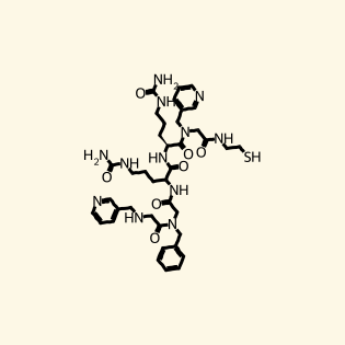 NC(=O)NCCCC(NC(=O)CN(Cc1ccccc1)C(=O)CNCc1cccnc1)C(=O)N[C@@H](CCCNC(N)=O)C(=O)N(CC(=O)NCCS)Cc1cccnc1